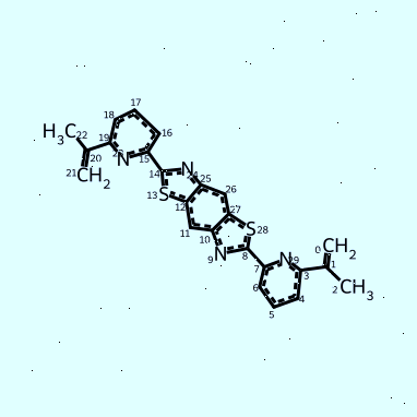 C=C(C)c1cccc(-c2nc3cc4sc(-c5cccc(C(=C)C)n5)nc4cc3s2)n1